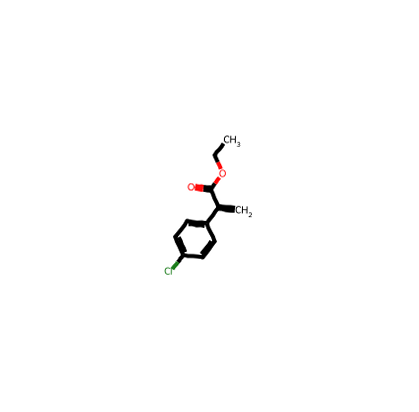 C=C(C(=O)OCC)c1ccc(Cl)cc1